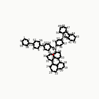 c1ccc(-c2ccc(-c3ccc(N(c4ccc(-c5cccc6cccc(-c7ccccc7)c56)cc4)c4ccc(-n5c6ccccc6c6ccccc65)cc4)cc3)cc2)cc1